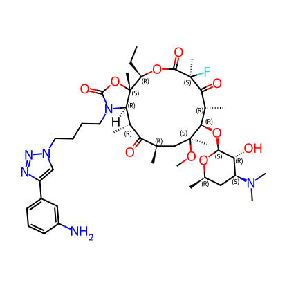 CC[C@H]1OC(=O)[C@@](C)(F)C(=O)[C@H](C)[C@@H](O[C@@H]2O[C@H](C)C[C@H](N(C)C)[C@H]2O)[C@@](C)(OC)C[C@@H](C)C(=O)[C@H](C)[C@H]2N(CCCCn3cc(-c4cccc(N)c4)nn3)C(=O)O[C@]12C